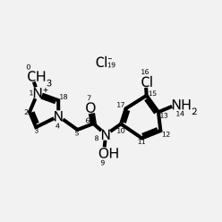 C[n+]1ccn(CC(=O)N(O)c2ccc(N)c(Cl)c2)c1.[Cl-]